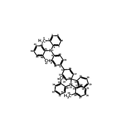 Cc1ccccc1N(c1ccc(C2C=CC(c3ccccc3)(N(c3ccccc3C)c3ccccc3C)C=C2)cc1)c1ccccc1C